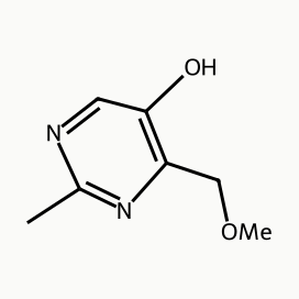 COCc1nc(C)ncc1O